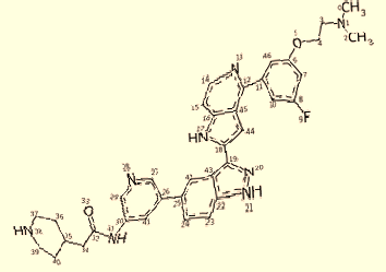 CN(C)CCOc1cc(F)cc(-c2nccc3[nH]c(-c4n[nH]c5ccc(-c6cncc(NC(=O)CC7CCNCC7)c6)cc45)cc23)c1